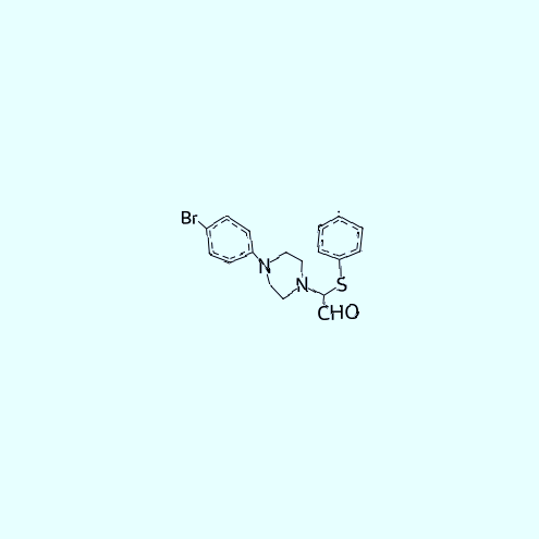 O=CC(Sc1cc[c]cc1)N1CCN(c2ccc(Br)cc2)CC1